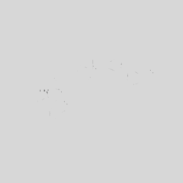 C=CN(CCCCOC(=C)NCc1cccc(-c2cccc(C#N)c2)c1)C(/N=C(\C)Cl)=C(\C)C(=C)N